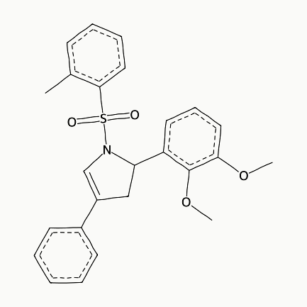 COc1cccc(C2CC(c3ccccc3)=CN2S(=O)(=O)c2ccccc2C)c1OC